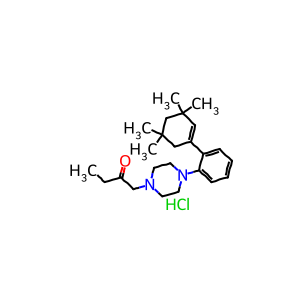 CCC(=O)CN1CCN(c2ccccc2C2=CC(C)(C)CC(C)(C)C2)CC1.Cl